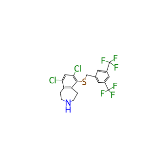 FC(F)(F)c1cc(CSc2c(Cl)cc(Cl)c3c2CCNCC3)cc(C(F)(F)F)c1